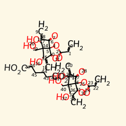 C=CC(=O)OC(C(=O)C=C)(C(=O)C=C)C(CO)(CO)CO.C=CC(=O)OC(C(=O)C=C)(C(=O)C=C)C(CO)(CO)CO.O=C(O)CCCCC(=O)O